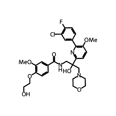 COc1cc(C(=O)NCC(O)(CN2CCOCC2)c2ccc(OC)c(-c3ccc(F)c(Cl)c3)n2)ccc1OCCO